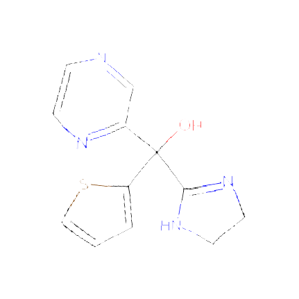 OC(C1=NCCN1)(c1cnccn1)c1cccs1